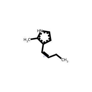 CC/C=C\c1cc[nH]c1C